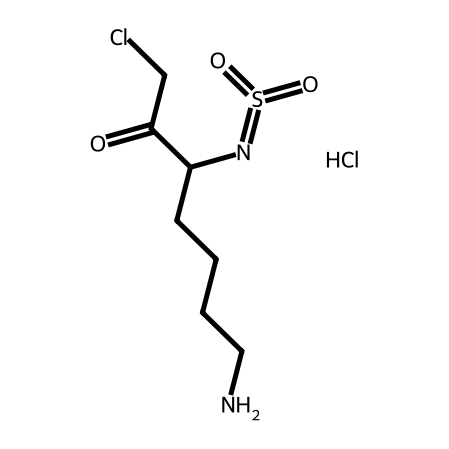 Cl.NCCCCC(N=S(=O)=O)C(=O)CCl